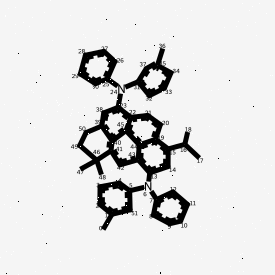 Cc1cccc(N(c2ccccc2)c2cc(C(C)C)c3ccc4c(N(c5ccccc5)c5cccc(C)c5)cc5c6c(cc2c3c46)C(C)(C)CC5)c1